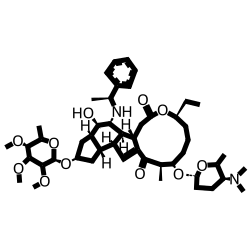 CC[C@H]1CCC[C@H](O[C@H]2CC[C@H](N(C)C)C(C)O2)[C@@H](C)C(=O)C2=C[C@H]3[C@@H]4C[C@H](O[C@@H]5OC(C)[C@H](OC)C(OC)C5OC)C[C@H]4[C@@H](O)[C@H](N[C@@H](C)c4ccccc4)[C@H]3[C@@H]2CC(=O)O1